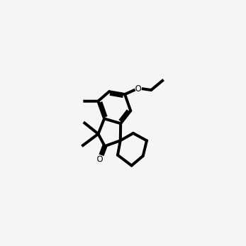 CCOc1cc(C)c2c(c1)C1(CCCCC1)C(=O)C2(C)C